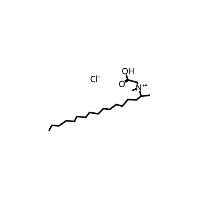 CCCCCCCCCCCCCCCC(C)[N+](C)(C)CC(=O)O.[Cl-]